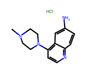 CN1CCN(c2ccnc3ccc(N)cc23)CC1.Cl